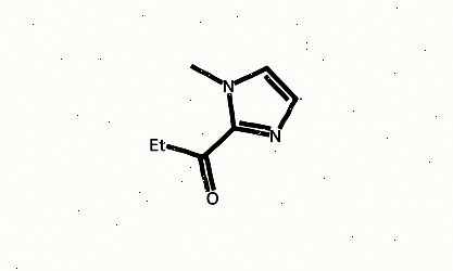 CCC(=O)c1n[c]cn1C